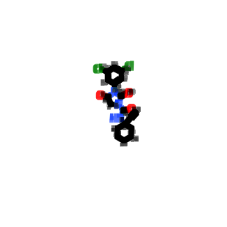 C#CC1(NC(=O)N2CC(=O)N(c3cc(Cl)cc(Cl)c3)C2=O)CCCCC1